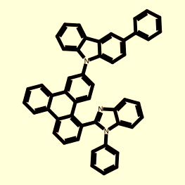 c1ccc(-c2ccc3c(c2)c2ccccc2n3-c2ccc3c(c2)c2ccccc2c2cccc(-c4nc5ccccc5n4-c4ccccc4)c23)cc1